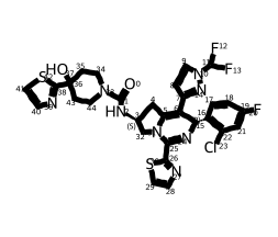 O=C(N[C@H]1CC2=C(c3ccn(C(F)F)n3)[C@H](c3ccc(F)cc3Cl)N=C(c3nccs3)N2C1)N1CCC(O)(c2nccs2)CC1